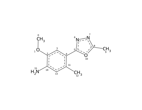 COc1cc(-c2nnc(C)o2)c(C)cc1N